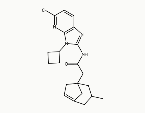 CC1CC2=CCC(CC(=O)Nc3nc4ccc(Cl)nc4n3C3CCC3)(C2)C1